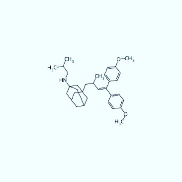 COc1ccc(C(=CC(C)CC23CC4CC(C2)CC(NCC(C)C)(C4)C3)c2ccc(OC)cc2)cc1